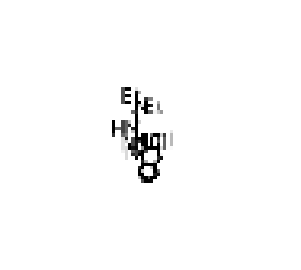 CCN(CC)CCNc1cc2c(nn1)-c1ccccc1CC2.Cl.Cl